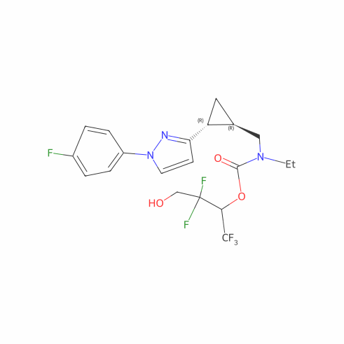 CCN(C[C@@H]1C[C@H]1c1ccn(-c2ccc(F)cc2)n1)C(=O)OC(C(F)(F)F)C(F)(F)CO